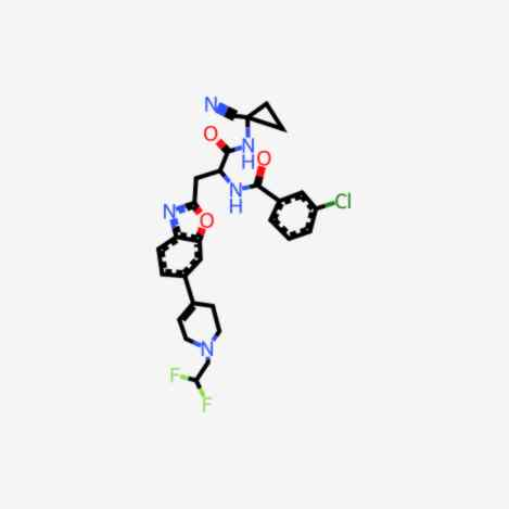 N#CC1(NC(=O)C(Cc2nc3ccc(C4=CCN(CC(F)F)CC4)cc3o2)NC(=O)c2cccc(Cl)c2)CC1